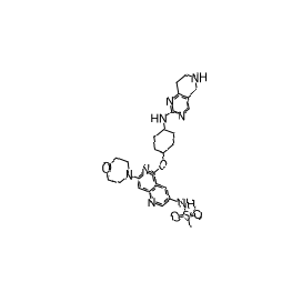 CS(=O)(=O)Nc1cnc2cc(N3CCOCC3)nc(OC3CCC(Nc4ncc5c(n4)CCNC5)CC3)c2c1